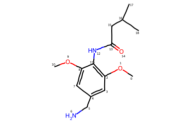 COc1cc(CN)cc(OC)c1NC(=O)CC(C)C